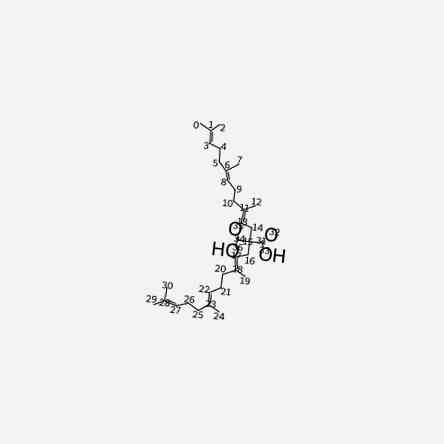 CC(C)=CCC/C(C)=C/CC/C(C)=C/CC(C/C=C(\C)CC/C=C(\C)CCC=C(C)C)(C(=O)O)C(=O)O